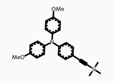 COc1ccc(N(c2ccc(C#C[Si](C)(C)C)cc2)c2ccc(OC)cc2)cc1